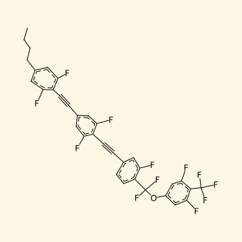 CCCCc1cc(F)c(C#Cc2cc(F)c(C#Cc3ccc(C(F)(F)Oc4cc(F)c(C(F)(F)F)c(F)c4)c(F)c3)c(F)c2)c(F)c1